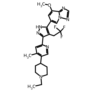 CCN1CCC(c2cnc(-c3n[nH]c(-c4cc(OC)c5ncnn5c4)c3CC(F)(F)F)cc2C)CC1